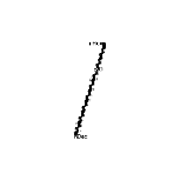 CCCCCC/C=C\CCCCCCCC(=O)OCCCCCCCCCCCCCCCCCCCCCCCCCCCCCCCCCC